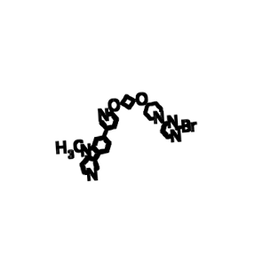 Cn1c2ccncc2c2ccc(-c3ccc(O[C@H]4C[C@H](OC5CCN(c6ccnc(Br)n6)CC5)C4)nc3)cc21